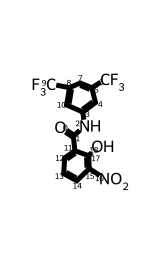 O=C(Nc1cc(C(F)(F)F)cc(C(F)(F)F)c1)c1cccc([N+](=O)[O-])c1O